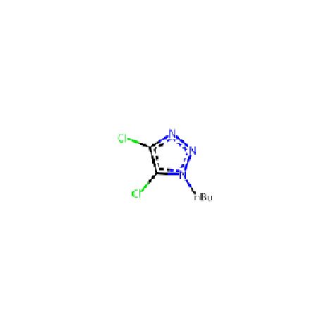 CCCCn1nnc(Cl)c1Cl